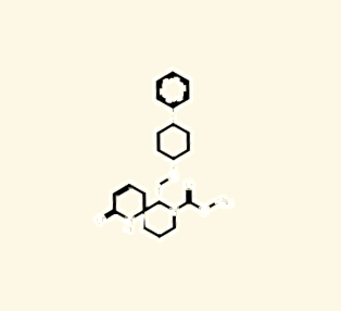 CC(C)(C)OC(=O)N1CCC[C@@]2(CC=CC(=O)N2)[C@@H]1CO[C@H]1CC[C@@H](c2ccccc2)CC1